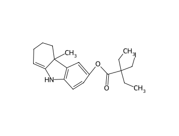 CCC(CC)(CI)C(=O)Oc1ccc2c(c1)C1(C)CCCC=C1N2